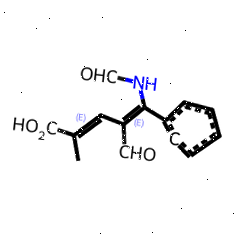 C/C(=C\C(C=O)=C(/NC=O)c1ccccc1)C(=O)O